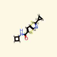 O=C(NC1CCC1)c1cc2sc(C3CC3)nc2s1